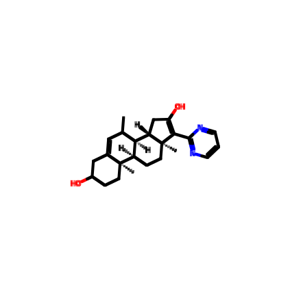 CC1C=C2CC(O)CC[C@]2(C)[C@@H]2CC[C@]3(C)C(c4ncccn4)=C(O)C[C@H]3[C@H]12